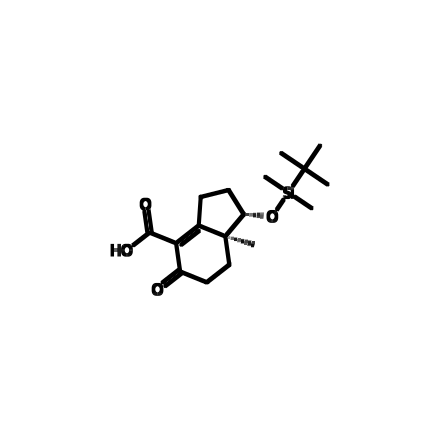 CC(C)(C)[Si](C)(C)O[C@H]1CCC2=C(C(=O)O)C(=O)CC[C@@]21C